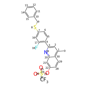 Cc1cc(-c2ccc(SCc3ccccc3)cc2F)nc2cc(OS(=O)(=O)C(F)(F)F)ccc12